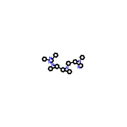 c1ccc(-c2cc(-n3c4ccccc4c4cc(-c5ccc6c7ccccc7n(-c7cccc(-c8ccc9c(c8)c8ncccc8n9-c8ccccc8)c7)c6c5)ccc43)nc(-c3ccccc3)n2)cc1